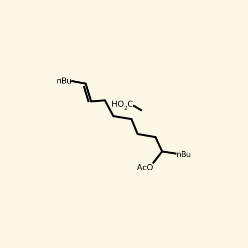 CC(=O)O.CCCCC=CCCCCCC(CCCC)OC(C)=O